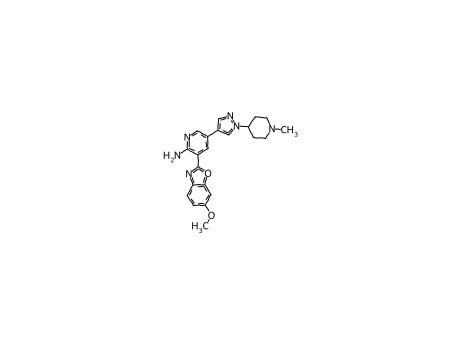 COc1ccc2nc(-c3cc(-c4cnn(C5CCN(C)CC5)c4)cnc3N)oc2c1